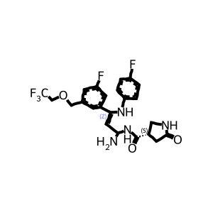 NC(/C=C(\Nc1ccc(F)cc1)c1cc(F)cc(COCC(F)(F)F)c1)NC(=O)[C@@H]1CNC(=O)C1